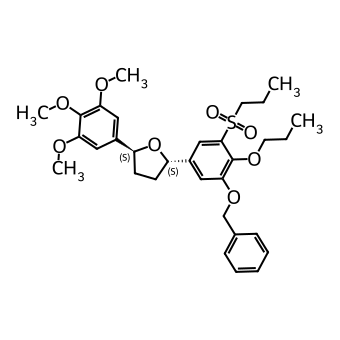 CCCOc1c(OCc2ccccc2)cc([C@@H]2CC[C@@H](c3cc(OC)c(OC)c(OC)c3)O2)cc1S(=O)(=O)CCC